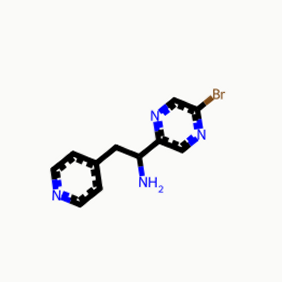 NC(Cc1ccncc1)c1cnc(Br)cn1